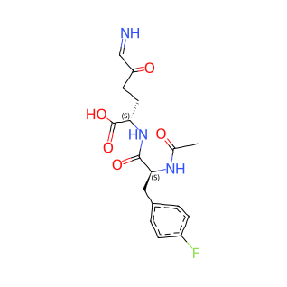 CC(=O)N[C@@H](Cc1ccc(F)cc1)C(=O)N[C@@H](CCC(=O)C=N)C(=O)O